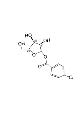 O=C(OC1O[C@H](CO)[C@@H](O)[C@H]1O)c1ccc(Cl)cc1